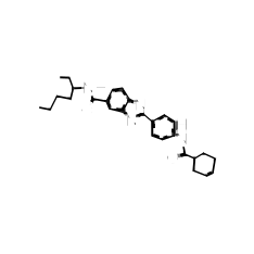 CCCCC(CC)NC(=O)c1ccc2[nH]c(-c3ccc(NC(=O)C4CC=CCC4)cc3)nc2c1